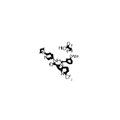 COc1cccc(Cn2c(C(=O)Nc3ccc(N4CCC4)nc3)cc3nc(C(F)(F)F)ccc32)c1.O=C(O)C(F)(F)F